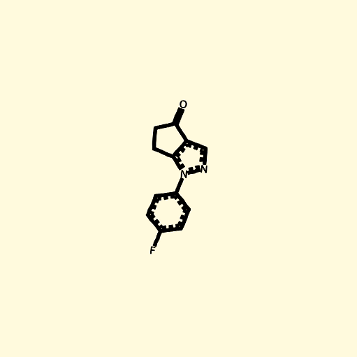 O=C1CCc2c1cnn2-c1ccc(F)cc1